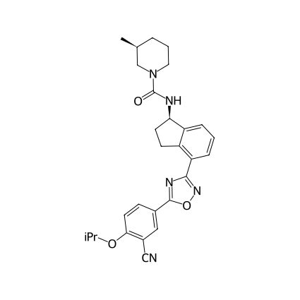 CC(C)Oc1ccc(-c2nc(-c3cccc4c3CC[C@H]4NC(=O)N3CCC[C@H](C)C3)no2)cc1C#N